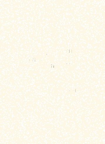 Cc1ccc2c(c1)OC(C)CN2CC(N)=O